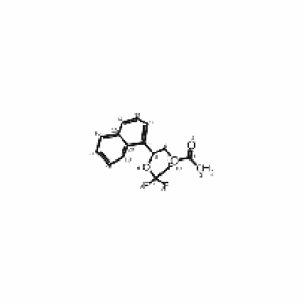 CC(=O)OCC(OC(F)(F)F)c1cccc2ccccc12